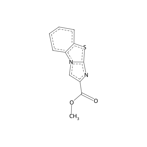 COC(=O)c1cn2c(n1)sc1ccccc12